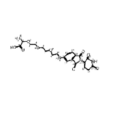 CC(OCCOCCOCCNc1ccc2c(c1)C(=O)N(C1CCC(=O)NC1=O)C2=O)C(=O)O